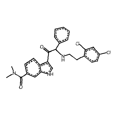 CN(C)C(=O)c1ccc2c(C(=O)C(NCCc3ccc(Cl)cc3Cl)c3ccccc3)c[nH]c2c1